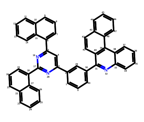 c1cc(-c2cc(-c3cccc4ccccc34)nc(-c3cccc4ccccc34)n2)cc(-c2nc3ccccc3c3c2ccc2ccccc23)c1